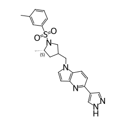 Cc1cccc(S(=O)(=O)N2CC(Cn3ccc4nc(-c5cn[nH]c5)ccc43)C[C@@H]2C)c1